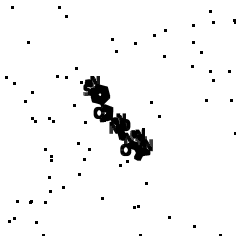 Cc1cnn2ncn(Cc3nc([C@@H]4CO[C@@H](c5ccc6ncsc6c5)C4)no3)c(=O)c12